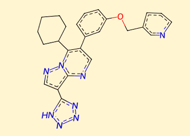 c1cncc(COc2cccc(-c3cnc4c(-c5nnn[nH]5)cnn4c3C3CCCCC3)c2)c1